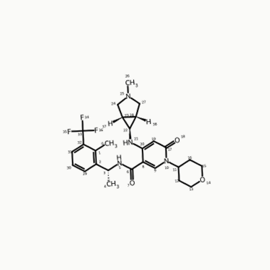 Cc1c([C@@H](C)NC(=O)c2cn(C3CCOCC3)c(=O)cc2N[C@H]2[C@@H]3CN(C)C[C@@H]32)cccc1C(F)(F)F